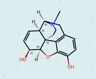 CN1CC[C@]23c4c5[c]cc(O)c4O[C@H]2[C@@H](O)C=C[C@H]3[C@H]1C5